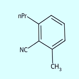 CCCc1cccc(C)c1C#N